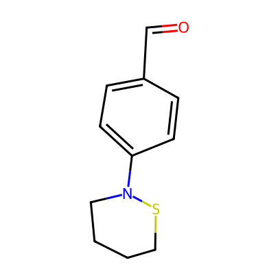 O=Cc1ccc(N2CCCCS2)cc1